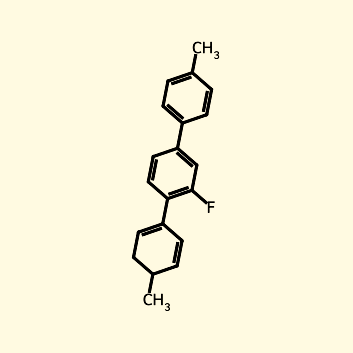 Cc1ccc(-c2ccc(C3=CCC(C)C=C3)c(F)c2)cc1